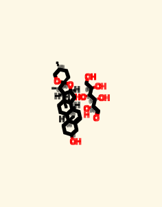 C[C@@H]1CC[C@@]2(OC1)O[C@H]1C[C@H]3[C@@H]4CC=C5C[C@@H](O)CC[C@]5(C)[C@H]4CC[C@]3(C)[C@H]1[C@@H]2C.O=C[C@H](O)[C@@H](O)[C@H](O)[C@H](O)CO